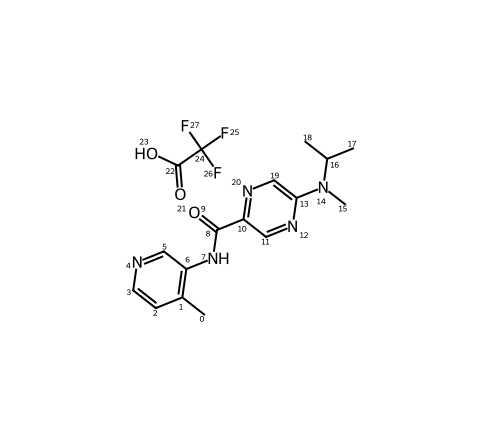 Cc1ccncc1NC(=O)c1cnc(N(C)C(C)C)cn1.O=C(O)C(F)(F)F